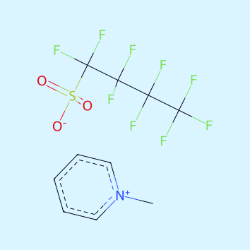 C[n+]1ccccc1.O=S(=O)([O-])C(F)(F)C(F)(F)C(F)(F)C(F)(F)F